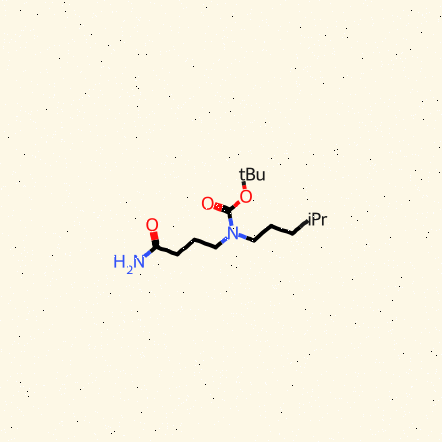 CC(C)CCCN(CCCC(N)=O)C(=O)OC(C)(C)C